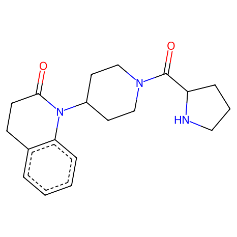 O=C(C1CCCN1)N1CCC(N2C(=O)CCc3ccccc32)CC1